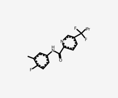 Cc1cc(NC(=O)c2ccc(C(F)(F)C(C)C)cn2)ccc1F